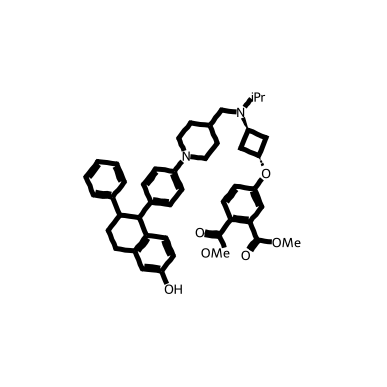 COC(=O)c1ccc(O[C@H]2C[C@H](N(CC3CCN(c4ccc(C5c6ccc(O)cc6CCC5c5ccccc5)cc4)CC3)C(C)C)C2)cc1C(=O)OC